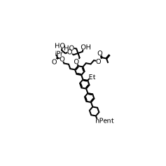 C=C(C)C(=O)OCCCc1cc(-c2ccc(-c3ccc(C4CCC(CCCCC)CC4)cc3)cc2CC)cc(CCCOC(=O)C(C)C)c1OCC(CO)(CO)COCCO